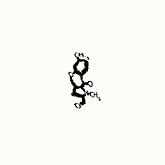 Cc1ccc2c(c1)OC=C1C=C(C=O)N(C)C1C2=O